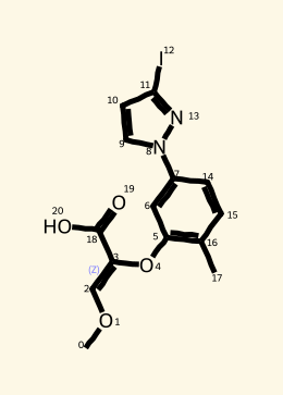 CO/C=C(\Oc1cc(-n2ccc(I)n2)ccc1C)C(=O)O